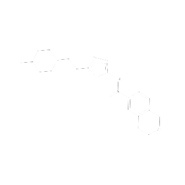 CC1CCN(CCc2nnc(NC(=O)c3ccc4c(c3)CCNC4)s2)CC1.Cl